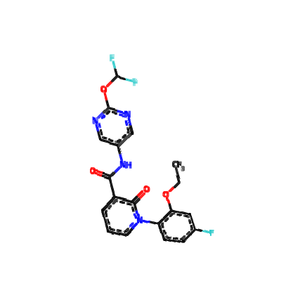 O=C(Nc1cnc(OC(F)F)nc1)c1cccn(-c2ccc(F)cc2OCC(F)(F)F)c1=O